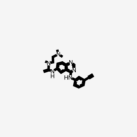 C#Cc1cccc(Nc2ncnc3ccc(NC(=C)N(C)CCN(C)C)cc23)c1